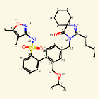 CCCCC1=NC2(CCCCC2)C(=O)N1Cc1ccc(-c2ccccc2S(=O)(=O)Nc2noc(C)c2C)c(COC(C)C)c1